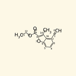 C#Cc1cccc2oc(C(=O)OCC)c(C)c12